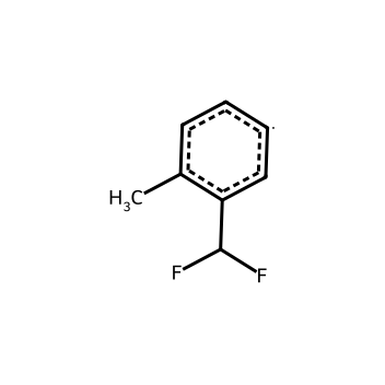 Cc1cc[c]cc1C(F)F